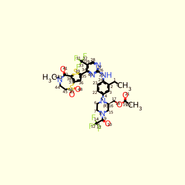 CCc1cc(N2CCN(C(=O)C(F)(F)F)C[C@@H]2COC(C)=O)ccc1Nc1ncc(C(F)(F)F)c(-c2cc3c(s2)C(=O)N(C)CCS3(=O)=O)n1